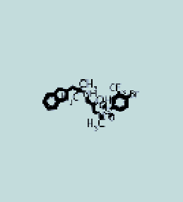 CN(CC(O)CNC(C)(C)CC1Cc2ccccc2C1)S(=O)(=O)c1ccc(Br)c(C(F)(F)F)c1